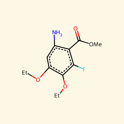 CCOc1cc(N)c(C(=O)OC)c(F)c1OCC